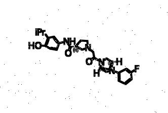 CC(C)c1cc(NC(=O)[C@@H]2CCN(CC(=O)N3C[C@@H]4C[C@H]3CN4c3cccc(F)c3)C2)ccc1O